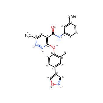 CSc1cccc(NC(=O)c2cc(C(F)(F)F)nnc2Oc2ccc(-c3cnoc3)cc2C)c1